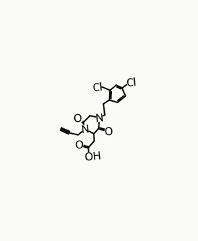 C#CCN1C(=O)CN(CCc2ccc(Cl)cc2Cl)C(=O)C1CC(=O)O